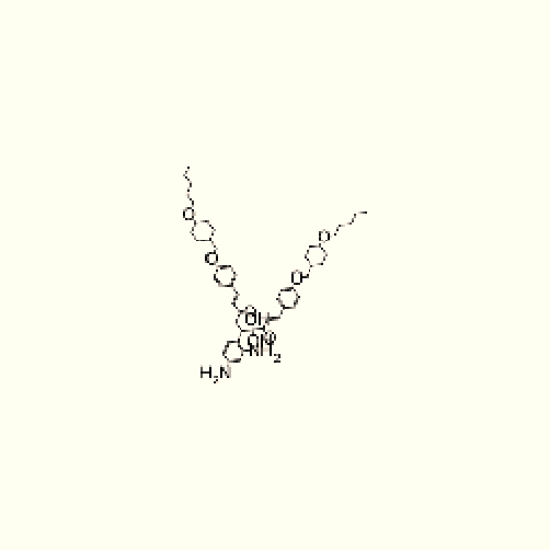 CCCCCOC1CCC(COc2ccc(/C=C/C(=O)CC(c3ccc(N)cc3N)C(O)(O)C(=O)/C=C/c3ccc(OCC4CCC(OCCCCC)CC4)cc3)cc2)CC1